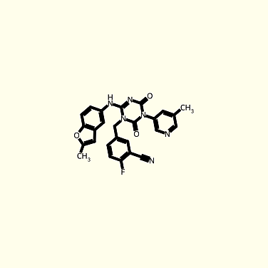 Cc1cncc(-n2c(=O)nc(Nc3ccc4oc(C)cc4c3)n(Cc3ccc(F)c(C#N)c3)c2=O)c1